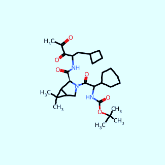 CC(=O)C(=O)C(CC1CCC1)NC(=O)[C@@H]1C2C(CN1C(=O)C(NC(=O)OC(C)(C)C)C1CCCCC1)C2(C)C